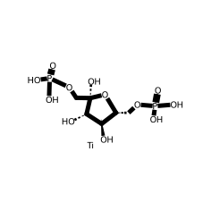 O=P(O)(O)OC[C@H]1O[C@](O)(COP(=O)(O)O)[C@@H](O)[C@@H]1O.[Ti]